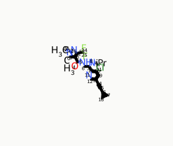 Cc1c(C(=O)NC/C(=N/C(C)C)c2ncc(C#CC3CC3)cc2Cl)c(C(F)F)nn1C